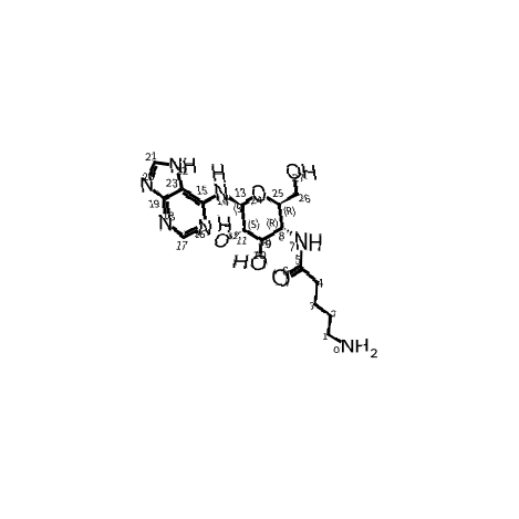 NCCCCC(=O)N[C@@H]1[C@@H](O)[C@H](O)[C@@H](Nc2ncnc3nc[nH]c23)O[C@H]1CO